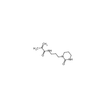 C=C(C)C(=O)NCCCN1CCCNC1=O